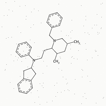 CC1CC(C)C(CCN(c2ccccc2)C2Cc3ccccc3C2)N(Cc2ccccc2)C1